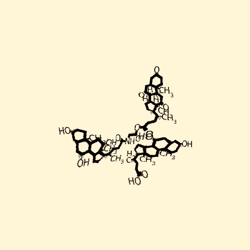 C[C@H](CCC(=O)O)[C@H]1CCC2C3C(CC[C@@]21C)[C@@]1(C)CC[C@H](O)CC1C[C@@H]3O.C[C@H](CCC(=O)OC(=O)CNC(=O)CC[C@@H](C)[C@H]1CCC2C3C(C[C@H](O)[C@@]21C)[C@@]1(C)CC[C@@H](O)CC1C[C@H]3O)[C@H]1CC[C@H]2[C@@H]3C(=O)CC4CC(=O)CC[C@]4(C)[C@H]3CC(=O)[C@]12C